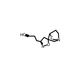 C#CCCC1=NOC2(C1)CN1CCC2CC1